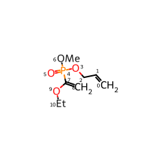 C=CCOP(=O)(OC)C(=C)OCC